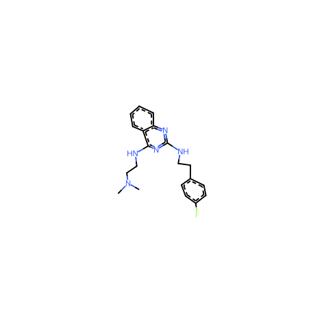 CN(C)CCNc1nc(NCCc2ccc(F)cc2)nc2ccccc12